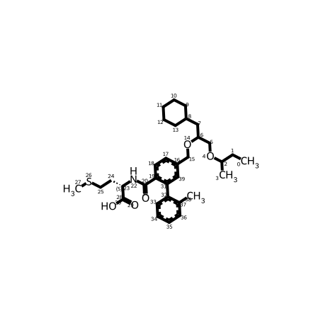 CCC(C)OCC(CC1CCCCC1)OCc1ccc(C(=O)N[C@@H](CCSC)C(=O)O)c(-c2ccccc2C)c1